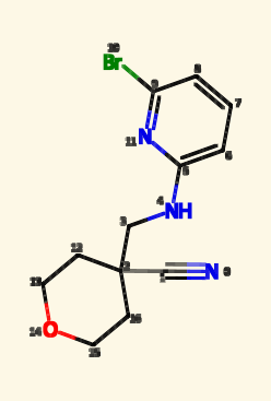 N#CC1(CNc2cccc(Br)n2)CCOCC1